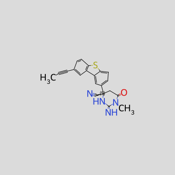 CC#Cc1ccc2sc3ccc([C@]4(C#N)CC(=O)N(C)C(=N)N4)cc3c2c1